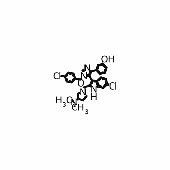 CN(C)C1CCN(C(=O)c2[nH]c3cc(Cl)ccc3c2-c2c(-c3cccc(O)c3)ncn2Cc2ccc(Cl)cc2)C1